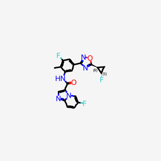 Cc1c(F)cc(-c2noc([C@H]3C[C@@H]3F)n2)cc1NC(=O)c1cnc2ccc(F)cn12